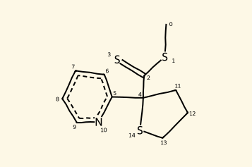 CSC(=S)C1(c2ccccn2)CCCS1